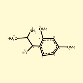 COc1ccc(C(O)C(N)C(=O)O)c(OC)c1